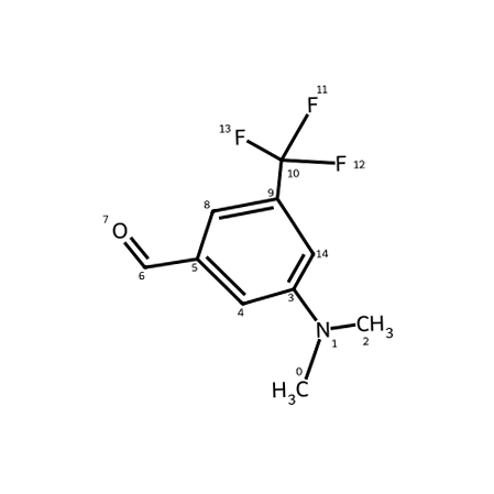 CN(C)c1cc(C=O)cc(C(F)(F)F)c1